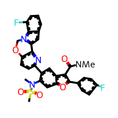 CNC(=O)c1c(-c2ccc(F)cc2)oc2cc(N(C)S(C)(=O)=O)c(-c3ccc4c(n3)-c3cc5cccc(F)c5n3CO4)cc12